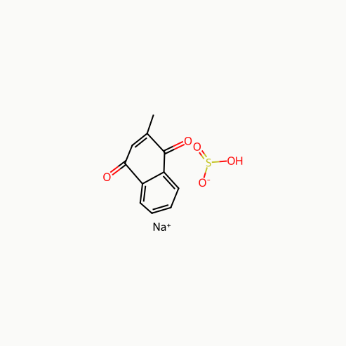 CC1=CC(=O)c2ccccc2C1=O.O=S([O-])O.[Na+]